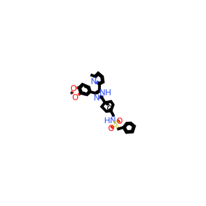 Cc1cccc(-c2[nH]c(C34CCC(CNS(=O)(=O)Cc5ccccc5)(CC3)CC4)nc2-c2ccc3c(c2)OCO3)n1